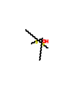 CCCCCCCCCCCC(SCCCC)c1cc(C)c(O)c(C(CCCCCCCCCCC)SCCCC)c1